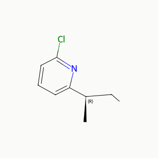 CC[C@@H](C)c1cccc(Cl)n1